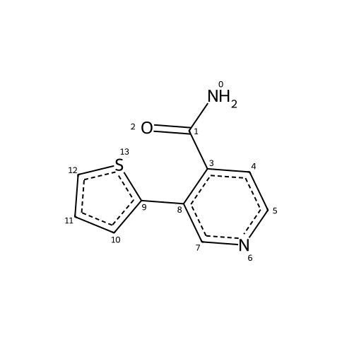 NC(=O)c1ccncc1-c1cccs1